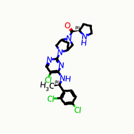 C[C@@H](Nc1nc(N2CC3CC2CN3C(=O)[C@H]2CCCN2)ncc1Cl)c1ccc(Cl)cc1Cl